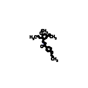 C=CCOc1ccc(C(=O)/C=C/c2cc(OC)cc(OC)c2CCC)cc1